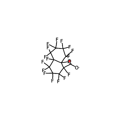 [O]C(=O)C1(F)C(F)(F)C(F)(F)C(F)(F)C2(F)C(F)(F)C(F)(F)C(F)(F)C(F)(F)C12F